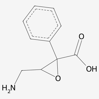 NCC1OC1(C(=O)O)c1ccccc1